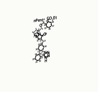 CCCCCC(OCC12CCC(CC1)n1cc(Cc3ccc(-c4ccccc4-c4nnn[nH]4)cc3)c(=O)n12)c1ccccc1C(=O)OCC